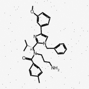 COc1cccc(-c2cn(Cc3ccccc3)c([C@@H](C(C)C)N(CCCN)C(=O)c3ccc(C)cc3)n2)c1